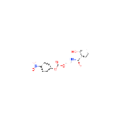 O=C(OCCNC(=O)c1ccccc1O)Oc1ccc([N+](=O)[O-])cc1